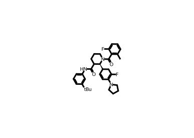 Cc1cccc(F)c1C(=O)N1CCCC(C(=O)Nc2cccc(C(C)(C)C)c2)[C@@H]1C1C=CC(N2CCCC2)=C(F)C1